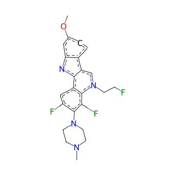 COc1ccc2c3cn(CCF)c4c(F)c(N5CCN(C)CC5)c(F)cc4c-3nc2c1